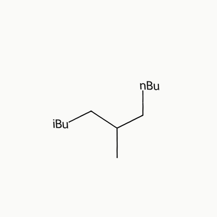 CCCCCC(C)CC(C)CC